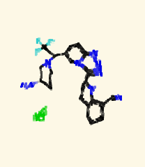 Cl.Cl.N#Cc1cccc2ccc(-c3nnc4ccc([C@@H](N5CC[C@H](N)C5)C(F)(F)F)cn34)nc12